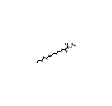 CCCCCC=CCCCCC=C(F)C(=O)OCC